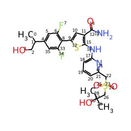 CC(CO)c1cc(F)c(-c2cc(C(N)=O)c(Nc3cccc(CS(=O)(=O)CC(C)(C)O)n3)s2)c(F)c1